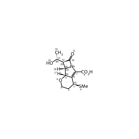 CS[C@H]1CCO[C@H]2C1=C(C(=O)O)N1C(=O)[C@H]([C@@H](C)O)[C@@H]21